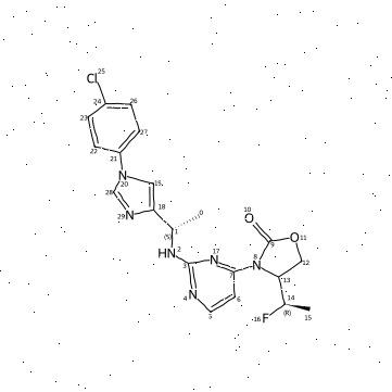 C[C@H](Nc1nccc(N2C(=O)OCC2[C@@H](C)F)n1)c1cn(-c2ccc(Cl)cc2)cn1